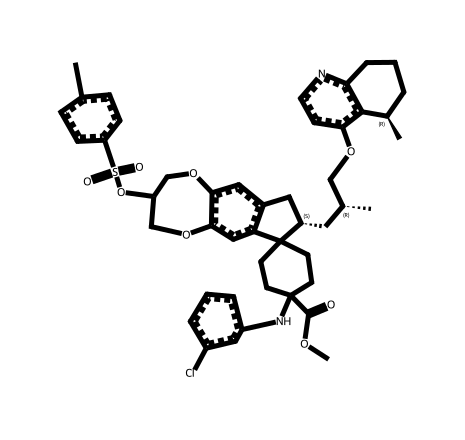 COC(=O)C1(Nc2cccc(Cl)c2)CCC2(CC1)c1cc3c(cc1C[C@@H]2C[C@@H](C)COc1ccnc2c1[C@H](C)CCC2)OCC(OS(=O)(=O)c1ccc(C)cc1)CO3